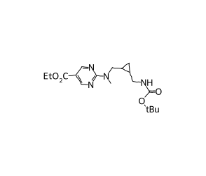 CCOC(=O)c1cnc(N(C)CC2CC2CNC(=O)OC(C)(C)C)nc1